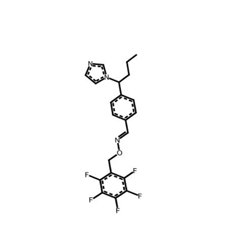 CCCC(c1ccc(C=NOCc2c(F)c(F)c(F)c(F)c2F)cc1)n1ccnc1